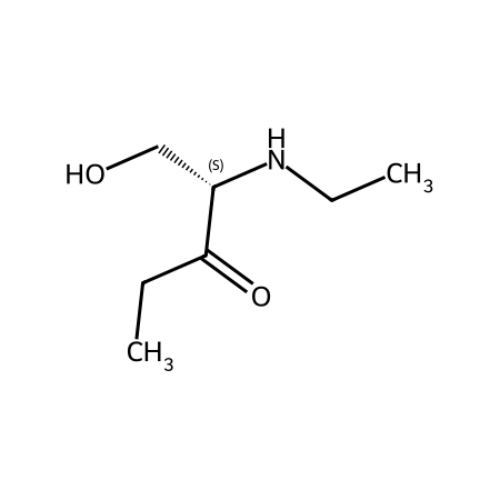 CCN[C@@H](CO)C(=O)CC